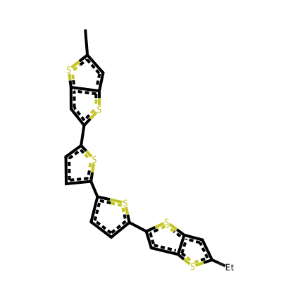 CCc1cc2sc(-c3ccc(-c4ccc(-c5cc6sc(C)cc6s5)s4)s3)cc2s1